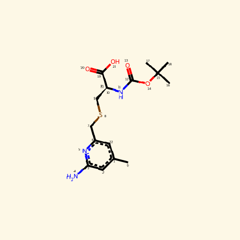 Cc1cc(N)nc(CSC[C@H](NC(=O)OC(C)(C)C)C(=O)O)c1